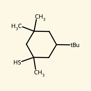 CC1(C)CC(C(C)(C)C)CC(C)(S)C1